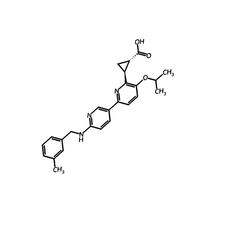 Cc1cccc(CNc2ccc(-c3ccc(OC(C)C)c([C@H]4C[C@@H]4C(=O)O)n3)cn2)c1